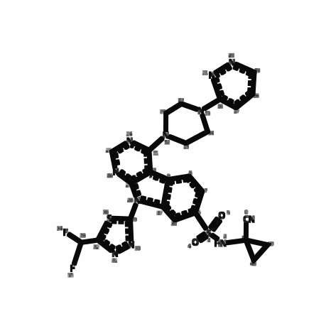 N#CC1(NS(=O)(=O)c2ccc3c4c(N5CCN(c6cccnn6)CC5)ncnc4n(-c4nnc(C(F)F)s4)c3c2)CC1